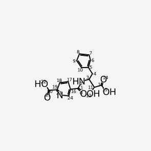 O=C(NC(Cc1ccccc1)C(O)C(=O)O)c1ccc(C(=O)O)nc1